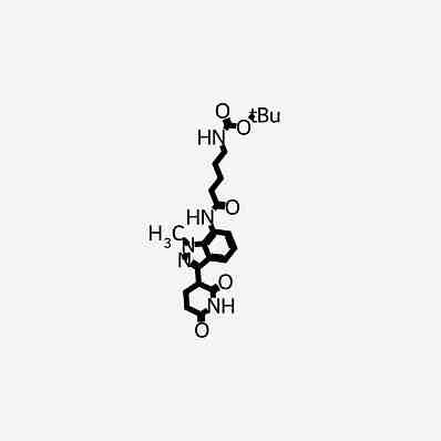 Cn1nc(C2CCC(=O)NC2=O)c2cccc(NC(=O)CCCCNC(=O)OC(C)(C)C)c21